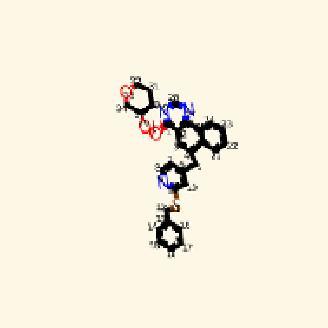 O=c1c2cc(Cc3ccnc(SCc4ccccc4)c3)c3ccccc3c2ncn1[C@H]1CCOC[C@@H]1O